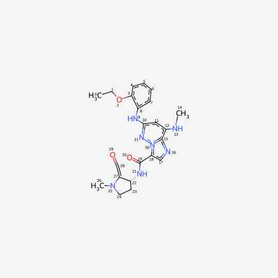 CCOc1ccccc1Nc1cc(NC)c2ncc(C(=O)N[C@@H]3CCN(C)C3=C=O)n2n1